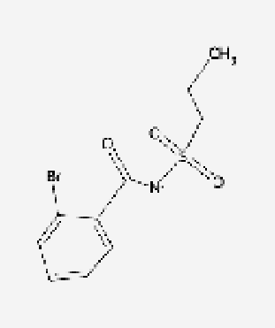 CCCS(=O)(=O)[N]C(=O)c1ccccc1Br